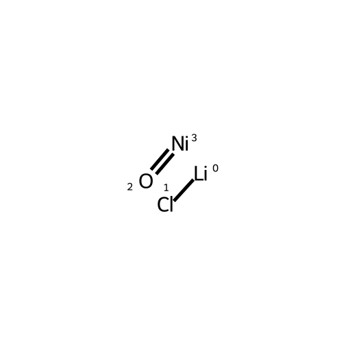 [Li][Cl].[O]=[Ni]